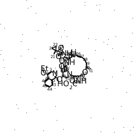 CCOc1cnc(O[C@@H]2C[C@H]3C(=O)N[C@]4(C(=O)NS(=O)(=O)C5(C)CC5)C[C@H]4C=CCC[C@@H](C)O[C@@H](C)[C@H](NC(=O)O)C(=O)N3C2)c2ccccc12